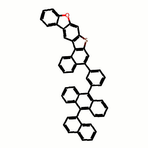 c1cc(-c2c3ccccc3c(-c3cccc4ccccc34)c3ccccc23)cc(-c2cc3sc4cc5oc6ccccc6c5cc4c3c3ccccc23)c1